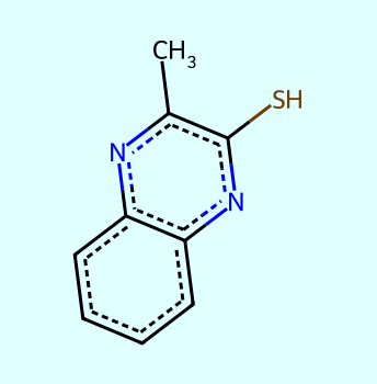 Cc1nc2ccccc2nc1S